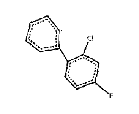 Fc1ccc(-c2[c]cccc2)c(Cl)c1